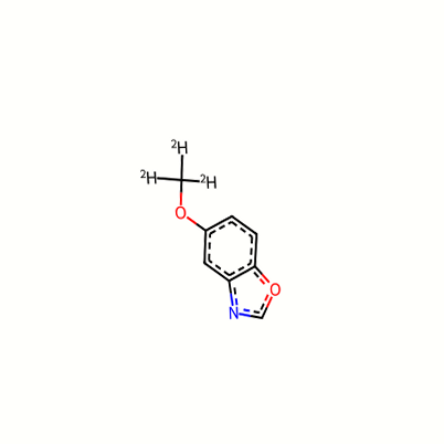 [2H]C([2H])([2H])Oc1ccc2ocnc2c1